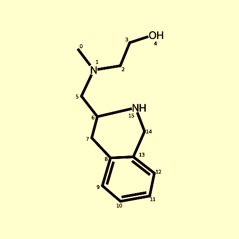 CN(CCO)CC1Cc2ccccc2CN1